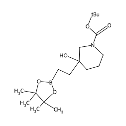 CC(C)(C)OC(=O)N1CCCC(O)(CCB2OC(C)(C)C(C)(C)O2)C1